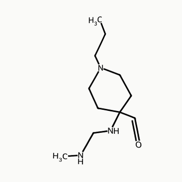 CCCN1CCC(C=O)(NCNC)CC1